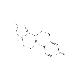 CC1C=C2C3=C(CC[C@]2(C)C1)C1C=CC(=O)C=C1CC3